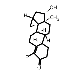 C[C@]12CC[C@H]3[C@@H](CCC4=C(F)C(=O)CC[C@@H]43)[C@]13C[C@@H]3C[C@@H]2O